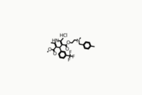 COC(=O)C1=C(C)NC(C)=C(C(=O)OCCN(C)Cc2ccc(C)cc2)C1c1cccc(C(F)(F)F)c1.Cl